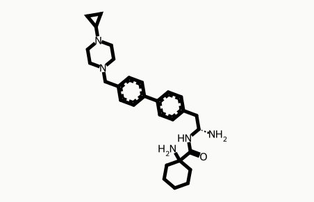 N[C@@H](Cc1ccc(-c2ccc(CN3CCN(C4CC4)CC3)cc2)cc1)NC(=O)C1(N)CCCCC1